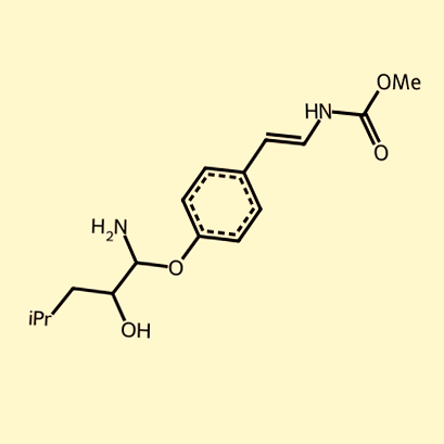 COC(=O)NC=Cc1ccc(OC(N)C(O)CC(C)C)cc1